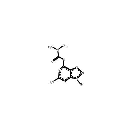 CC(C)n1nnc2c(OC(=O)N(C)C)nc(N)nc21